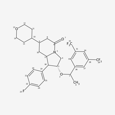 CC(O[C@H]1CN2C(=O)CC(C3CCOCC3)CC2C1c1ccc(F)cc1)c1cc(C(F)(F)F)cc(C(F)(F)F)c1